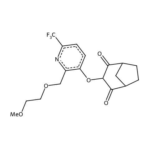 COCCOCc1nc(C(F)(F)F)ccc1OC1C(=O)C2CCC(C2)C1=O